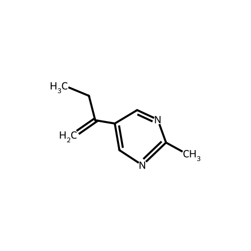 C=C(CC)c1cnc(C)nc1